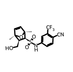 C[C@]12C=C[C@](C)(O1)[C@@H](S(=O)(=O)Nc1ccc(C#N)c(C(F)(F)F)c1)[C@H]2CO